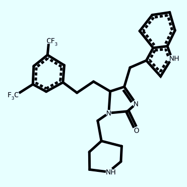 O=C1N=C(Cc2c[nH]c3ccccc23)C(CCc2cc(C(F)(F)F)cc(C(F)(F)F)c2)N1CC1CCNCC1